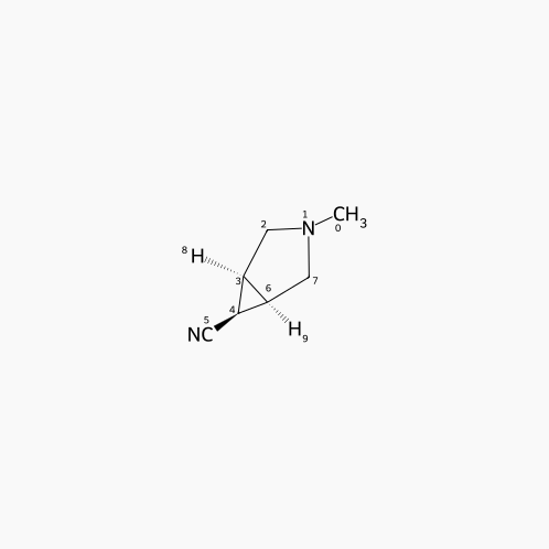 CN1C[C@@H]2[C@H](C#N)[C@@H]2C1